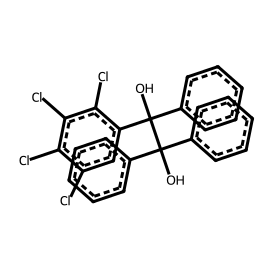 OC(c1ccccc1)(c1ccccc1)C(O)(c1ccccc1)c1cc(Cl)c(Cl)c(Cl)c1Cl